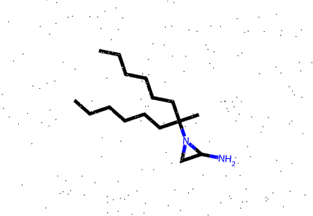 CCCCCCC(C)(CCCCCC)N1CC1N